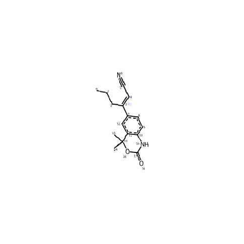 CCC/C(=C\C#N)c1ccc2c(c1)C(C)(C)OC(=O)N2